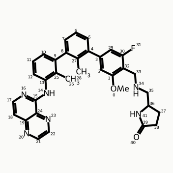 COc1cc(-c2cccc(-c3cccc(Nc4nccc5nccnc45)c3C)c2C)cc(F)c1CNCC1CCC(=O)N1